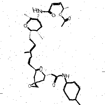 CC(=O)O[C@@H](C)/C=C\C(=O)N[C@@H]1C[C@H](C)[C@H](C/C=C(C)/C=C/[C@@H]2C[C@]3(CO3)C[C@@H](CC(=O)NC3CCC(C)CC3)O2)O[C@@H]1C